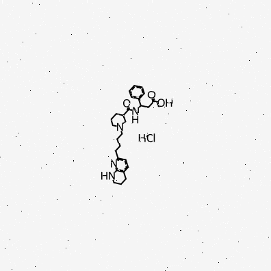 Cl.O=C(O)CC(NC(=O)C1CCCN(CCCCc2ccc3c(n2)NCCC3)C1)c1ccccc1